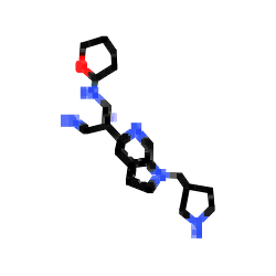 N=C/C(=C\NC1CCCCO1)c1cc2ccn(CC3CCNC3)c2cn1